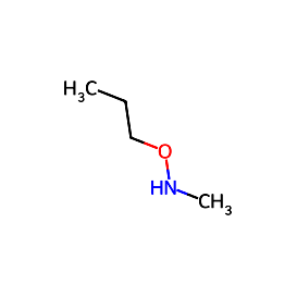 CCCONC